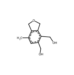 Cc1cc(CO)c(CO)c2c1COC2